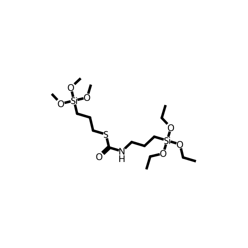 CCO[Si](CCCNC(=O)SCCC[Si](OC)(OC)OC)(OCC)OCC